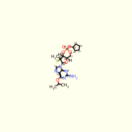 CC(C)Oc1nc(N)nc2c1ncn2[C@@H]1O[C@@H]2CO[P@](=O)(OC3CCCC3)O[C@H]2[C@@]1(C)F